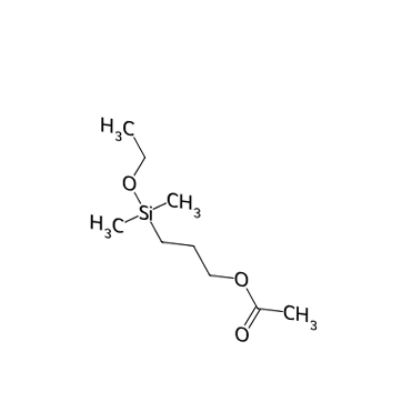 CCO[Si](C)(C)CCCOC(C)=O